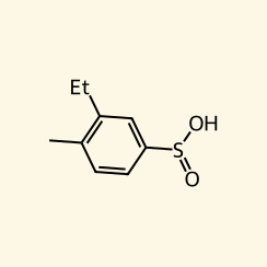 CCc1cc(S(=O)O)ccc1C